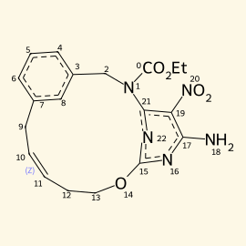 CCOC(=O)N1Cc2cccc(c2)C/C=C\CCOc2nc(N)c([N+](=O)[O-])c1n2